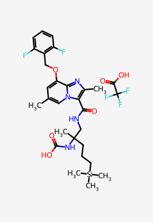 Cc1cc(OCc2c(F)cccc2F)c2nc(C)c(C(=O)NCC(C)(CCC[Si](C)(C)C)NC(=O)O)n2c1.O=C(O)C(F)(F)F